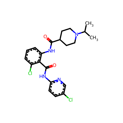 CC(C)N1CCC(C(=O)Nc2cccc(Cl)c2C(=O)Nc2ccc(Cl)cn2)CC1